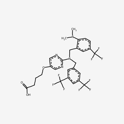 CN(C)c1ccc(C(F)(F)F)cc1CN(Cc1cc(C(F)(F)F)cc(C(F)(F)F)c1)c1ncc(OCCCC(=O)O)cn1